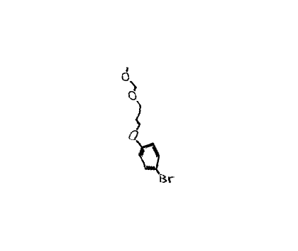 COCOCCCOc1ccc(Br)cc1